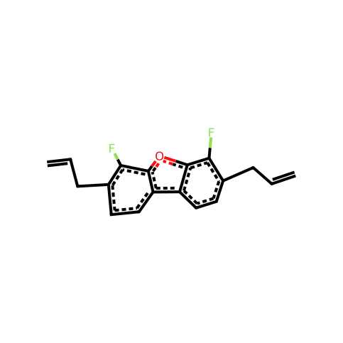 C=CCc1ccc2c(oc3c(F)c(CC=C)ccc32)c1F